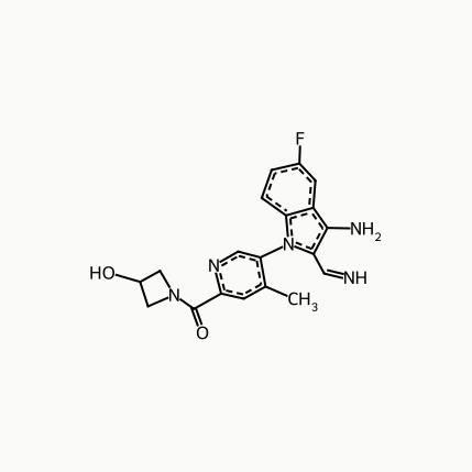 Cc1cc(C(=O)N2CC(O)C2)ncc1-n1c(C=N)c(N)c2cc(F)ccc21